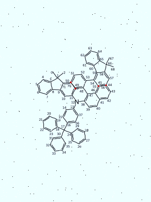 CC1(C)c2ccccc2-c2cc(N(c3ccc(C(c4ccccc4)(c4ccccc4)c4ccccc4)cc3)c3ccc4ccccc4c3-c3ccccc3-c3cccc4c3-c3ccccc3C4(C)C)ccc21